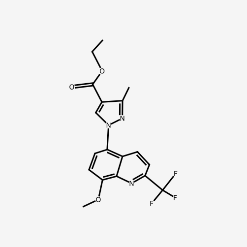 CCOC(=O)c1cn(-c2ccc(OC)c3nc(C(F)(F)F)ccc23)nc1C